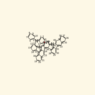 c1ccc(N(c2ccccc2)c2cccc3c4c5ccccc5cc5c6c7c8cccc9c%10cc%11ccccc%11cc%10n(c7ncc6n(c23)c54)c98)cc1